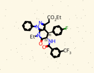 CCOC(=O)Cc1nn(-c2ccccc2)c2c1[C@@H](c1ccc(F)cc1)[C@H](NC(=O)c1cccc(C(F)(F)F)c1)C(=O)N2CC